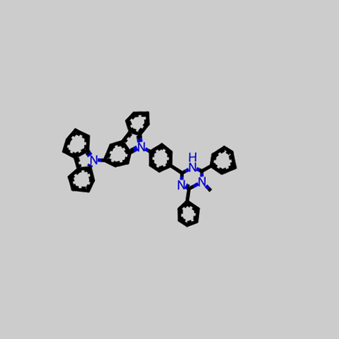 CN1C(c2ccccc2)=NC(c2ccc(-n3c4ccccc4c4cc(-n5c6ccccc6c6ccccc65)ccc43)cc2)NC1c1ccccc1